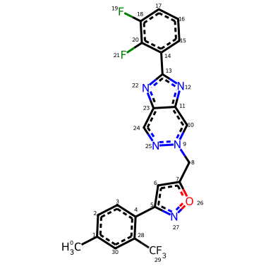 Cc1ccc(-c2cc(Cn3cc4nc(-c5cccc(F)c5F)nc-4cn3)on2)c(C(F)(F)F)c1